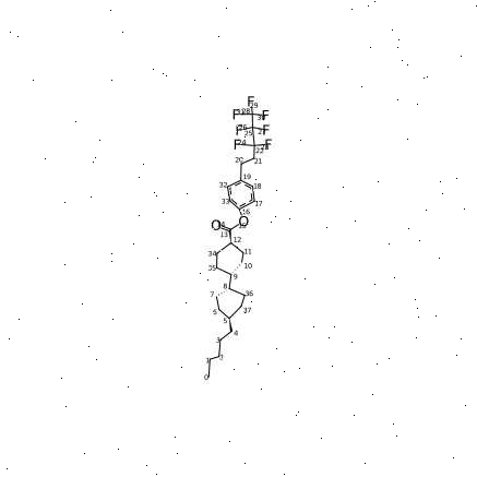 CCCCC[C@H]1CC[C@H]([C@H]2CC[C@H](C(=O)Oc3ccc(CCC(F)(F)C(F)(F)C(F)(F)F)cc3)CC2)CC1